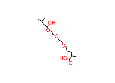 CC(=CCCOCCOCCOC(O)CC(C)C)C(=O)O